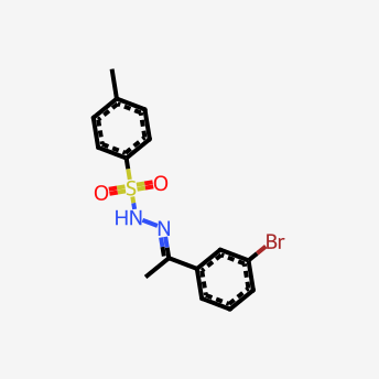 C/C(=N\NS(=O)(=O)c1ccc(C)cc1)c1cccc(Br)c1